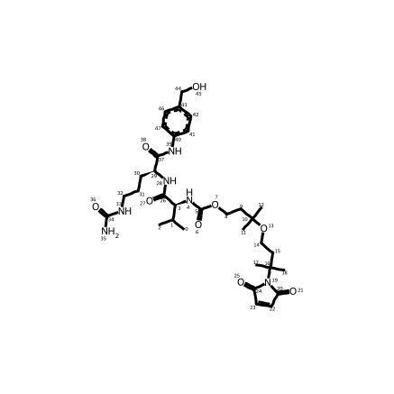 CC(C)[C@H](NC(=O)OCCC(C)(C)OCCC(C)(C)N1C(=O)C=CC1=O)C(=O)N[C@@H](CCCNC(N)=O)C(=O)Nc1ccc(CO)cc1